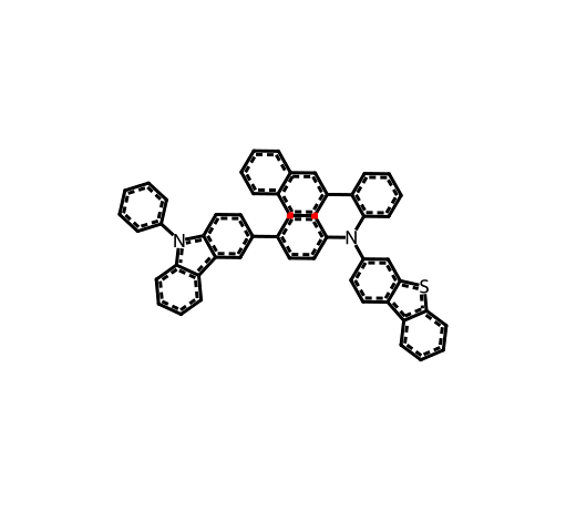 c1ccc(-n2c3ccccc3c3cc(-c4ccc(N(c5ccc6c(c5)sc5ccccc56)c5ccccc5-c5ccc6ccccc6c5)cc4)ccc32)cc1